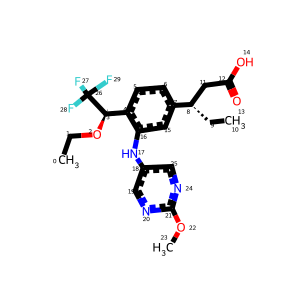 CCO[C@H](c1ccc([C@@H](CC)CC(=O)O)cc1Nc1cnc(OC)nc1)C(F)(F)F